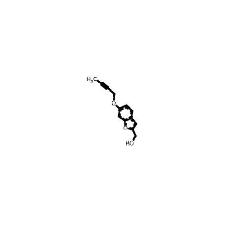 CC#CCOc1ccc2cc(CO)oc2c1